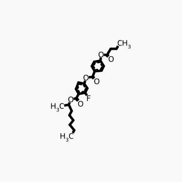 CCCCCCC(C)OC(=O)c1ccc(OC(=O)c2ccc(OC(=O)CCC)cc2)cc1F